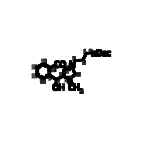 CCCCCCCCCCCCCN1C=C(C(O)c2ccccc2C(=O)O)N(C)C1